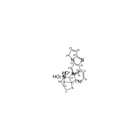 O=C(O)C1C2CCC1(c1ncccn1)C(c1ccc3nc4n(c3c1)CC=C4)NC2